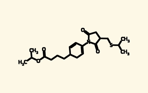 CC(C)OC(=O)CCCC1C=CC(N2C(=O)CC(CSC(C)C)C2=O)=CC1